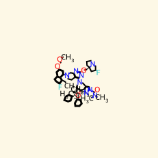 CCc1c(F)ccc2cc(OCOC)cc(N3CCc4c(nc(OC[C@@]56CCCN5C[C@H](F)C6)nc4N4CCC(O[Si](c5ccccc5)(c5ccccc5)C(C)(C)C)c5nn(C(=O)N(C)C)cc5C4)C3)c12